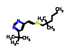 CCCCC(C)(C)CS/C=C/c1cc(C(C)(C)C)ncn1